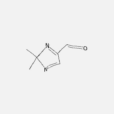 CC1(C)N=CC(C=O)=N1